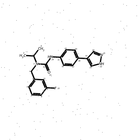 CC(C)N(Cc1cccc(F)c1)C(=O)Nc1ccc(-c2cn[nH]c2)cc1